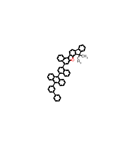 CC1(C)c2ccccc2-c2ccc3c(oc4cc(-c5ccc(-c6c7ccccc7c(-c7cccc(-c8ccccc8)c7)c7ccccc67)c6ccccc56)c5ccccc5c43)c21